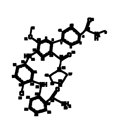 CNC(=O)c1ccc(-c2cc(OC)c(Nc3ccc(Cl)c(Nc4ccccc4C(N)=O)c3)cc2C(=O)N2CCCC2)cc1